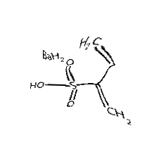 C=CC(=C)S(=O)(=O)O.[BaH2]